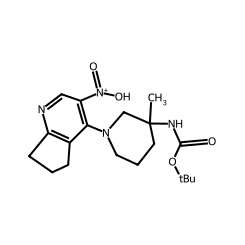 CC1(NC(=O)OC(C)(C)C)CCCN(c2c([N+](=O)O)cnc3c2CCC3)C1